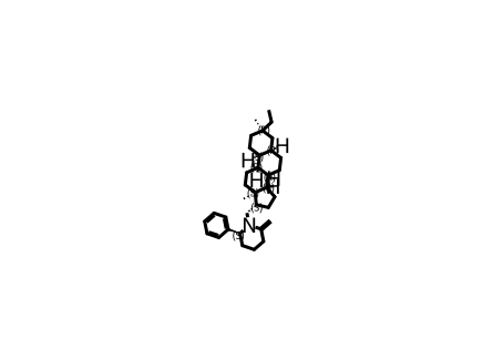 C=C1CCC[C@@H](c2ccccc2)N1C[C@H]1CC[C@H]2[C@@H]3CC[C@@H]4C[C@](C)(CC)CC[C@@H]4[C@H]3CC[C@]12C